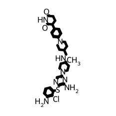 CC1(NCC2CCN(c3ccc(C4CCC(=O)NC4=O)cc3)CC2)CCN(c2cnc(Sc3cccc(N)c3Cl)c(N)n2)CC1